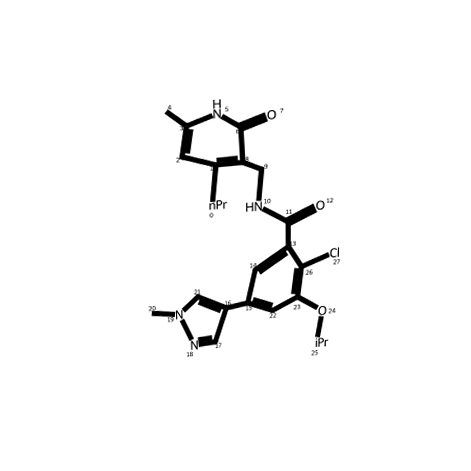 CCCc1cc(C)[nH]c(=O)c1CNC(=O)c1cc(-c2cnn(C)c2)cc(OC(C)C)c1Cl